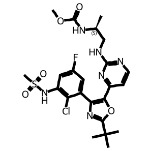 COC(=O)N[C@@H](C)CNc1nccc(-c2oc(C(C)(C)C)nc2-c2cc(F)cc(NS(C)(=O)=O)c2Cl)n1